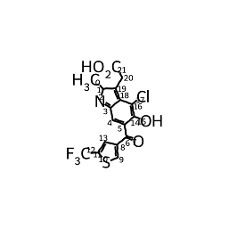 CC1N=c2cc(C(=O)c3csc(C(F)(F)F)c3)c(O)c(Cl)c2=C1CC(=O)O